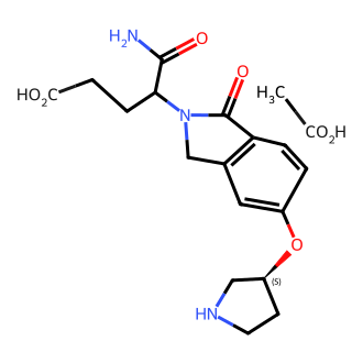 CC(=O)O.NC(=O)C(CCC(=O)O)N1Cc2cc(O[C@H]3CCNC3)ccc2C1=O